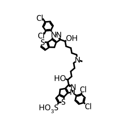 CN(CCCCC(O)c1nn(-c2ccc(Cl)cc2Cl)c2c1Cc1ccsc1-2)CCCCC(O)c1nn(-c2ccc(Cl)cc2Cl)c2c1Cc1cc(S(=O)(=O)O)sc1-2